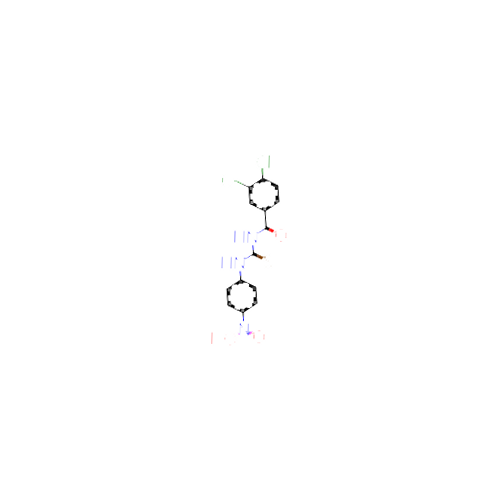 O=C(NC(=S)Nc1ccc([N+](=O)O)cc1)c1ccc(Cl)c(Cl)c1